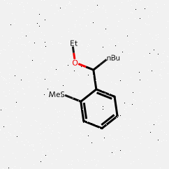 CCCCC(OCC)c1ccccc1SC